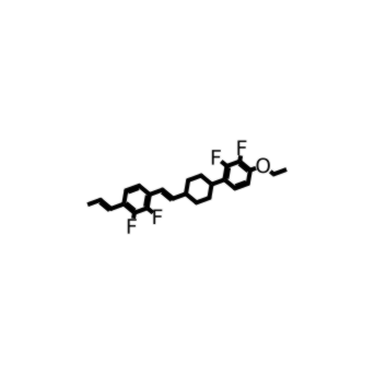 C/C=C/c1ccc(/C=C/C2CCC(c3ccc(OCC)c(F)c3F)CC2)c(F)c1F